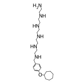 NCCNCCNCCNCCNCCNCc1ccc(OC2CCCCCC2)cc1